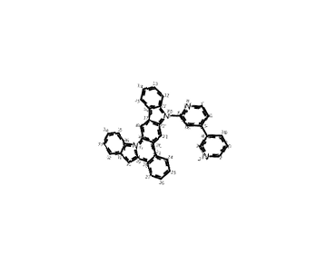 c1cncc(-c2ccnc(-n3c4ccccc4c4cc5c(cc43)c3ccccc3c3cc4ccccc4n35)c2)c1